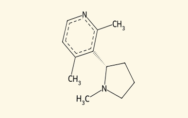 Cc1ccnc(C)c1[C@@H]1CCCN1C